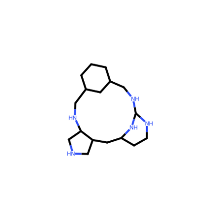 C1CC2CNC3NCCC(CC4CNCC4NCC(C1)C2)N3